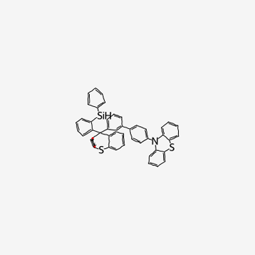 c1ccc([SiH]2c3ccccc3C3(c4ccccc4Sc4ccccc43)c3cc(-c4ccc(N5c6ccccc6Sc6ccccc65)cc4)ccc32)cc1